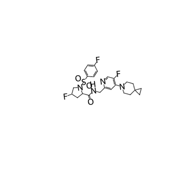 O=C(NCc1cc(N2CCC3(CC2)CC3)c(F)cn1)C1CC(F)CN1S(=O)(=O)c1ccc(F)cc1